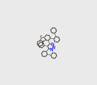 c1ccc(-c2ccccc2-c2ccc3sc4ccccc4c3c2-c2nnnc(-c3ccccc3-c3ccccc3)c2-c2ccccc2)cc1